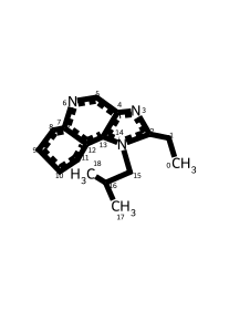 CCc1nc2cnc3ccccc3c2n1CC(C)C